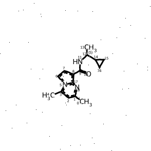 Cc1cc(C)n2ccc(C(=O)N[C@@H](C)C3CC3)c2n1